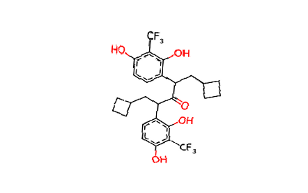 O=C(C(CC1CCC1)c1ccc(O)c(C(F)(F)F)c1O)C(CC1CCC1)c1ccc(O)c(C(F)(F)F)c1O